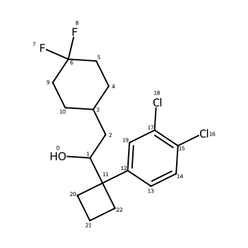 OC(CC1CCC(F)(F)CC1)C1(c2ccc(Cl)c(Cl)c2)CCC1